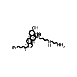 CC(C)CCC[C@@H](C)[C@H]1CC[C@H]2[C@@H]3CC(NCCCCNCCCN)C4(O)CC(O)CC[C@]4(C)[C@H]3CC[C@]12C